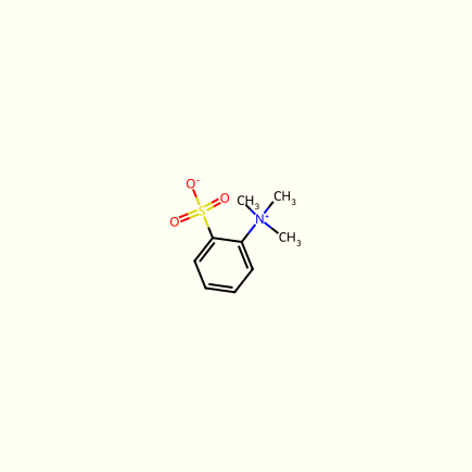 C[N+](C)(C)c1ccccc1S(=O)(=O)[O-]